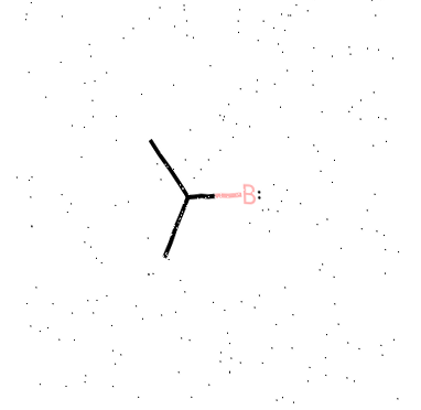 [B]C(C)C